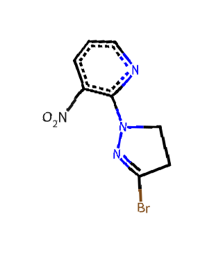 O=[N+]([O-])c1cccnc1N1CCC(Br)=N1